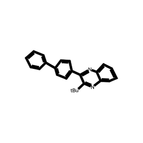 CC(C)(C)c1nc2ccccc2nc1-c1ccc(-c2ccccc2)cc1